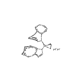 C1=C[CH]([Ti]2([CH]3C=Cc4ccccc43)[CH2][CH2]2)c2ccccc21.[H-].[H-]